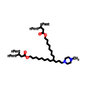 CCCCCC(CCCCC)CC(=O)OCCCCCCCCC(CCCCCCCCOC(=O)CC(CCCCC)CCCCC)CCCN1CCN(C)CC1